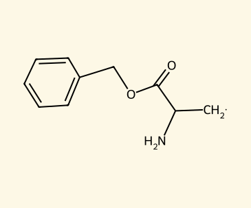 [CH2]C(N)C(=O)OCc1ccccc1